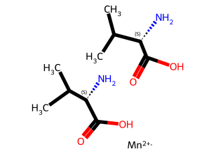 CC(C)[C@H](N)C(=O)O.CC(C)[C@H](N)C(=O)O.[Mn+2]